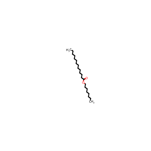 CCCCCCCCCCCCCC(=O)OCCCCCCCC